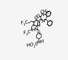 CN1C(=O)[C@@H](NC(=O)[C@H](CCC(F)(F)F)[C@H](CCC(F)(F)F)C(=O)NCN2CCC(NC(=O)O)CC2)N=C(c2ccccc2)c2ccccc21